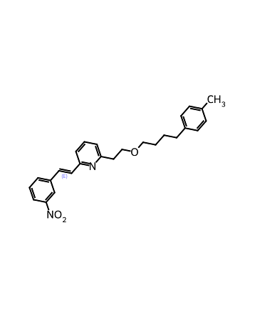 Cc1ccc(CCCCOCCc2cccc(/C=C/c3cccc([N+](=O)[O-])c3)n2)cc1